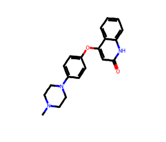 CN1CCN(c2ccc(Oc3cc(=O)[nH]c4ccccc34)cc2)CC1